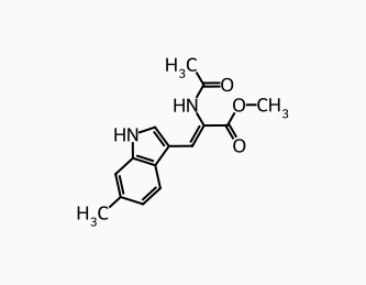 COC(=O)/C(=C/c1c[nH]c2cc(C)ccc12)NC(C)=O